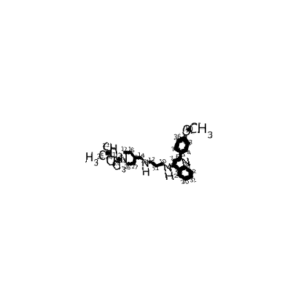 COc1ccc(-c2cc(NCCCNCC3CCN(C(=O)OC(C)(C)C)CC3)c3ccccc3n2)cc1